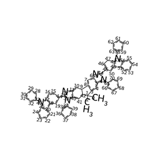 CC1(C)c2cc3c(cc2C2C=c4nc(-c5ccc6c(c5)c5ccccc5n6-c5ccccc5)n(-c5ccccc5)c4=CC21)nc(C1=CCC2C(=C1)c1ccccc1N2c1ccccc1)n3-c1ccccc1